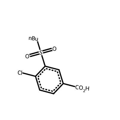 CCCCS(=O)(=O)c1cc(C(=O)O)ccc1Cl